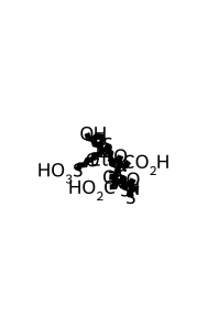 CC/C(C=C1Sc2ccc(CO)cc2N1CCOCCCS(=O)(=O)O)=c1\s/c(=c2/s/c(=C3/SC(=S)N(C)C3=O)n(CC(=O)O)c2=O)n(CC(=O)O)c1=O